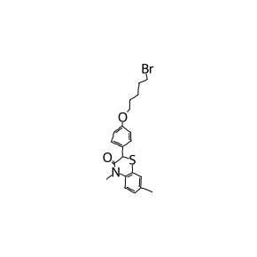 Cc1ccc2c(c1)SC(c1ccc(OCCCCCBr)cc1)C(=O)N2C